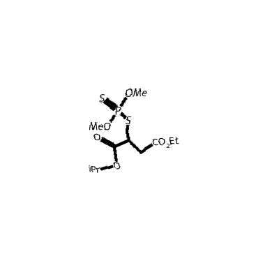 CCOC(=O)CC(SP(=S)(OC)OC)C(=O)OC(C)C